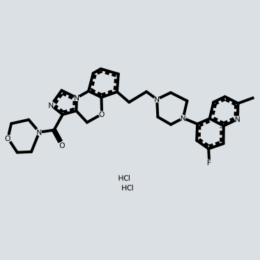 Cc1ccc2c(N3CCN(CCc4cccc5c4OCc4c(C(=O)N6CCOCC6)ncn4-5)CC3)cc(F)cc2n1.Cl.Cl